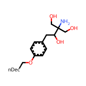 CCCCCCCCCCCOc1ccc(CC(O)C(N)(CO)CO)cc1